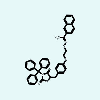 CC(=NOCCOc1ccc(CC2SC(=O)N(C(c3ccccc3)(c3ccccc3)c3ccccc3)C2=O)cc1)c1ccc2ccccc2c1